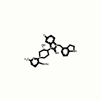 CC(=O)Nc1ccc(C)nc1N1CCC(n2c(=N)n(Cc3cccc4c3CCN4)c3ccc(F)cc32)[C@@H](O)C1